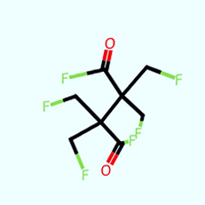 O=C(F)C(CF)(CF)C(CF)(CF)C(=O)F